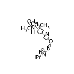 Cc1cc(-c2ccc(OC3CN(Cc4nc(C(C)C)no4)C3)cn2)ccc1C(=O)NC(C)(C)CO